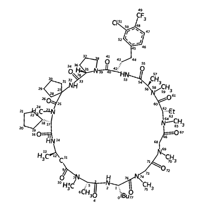 CCC(C)[C@@H]1NC(=O)[C@H](C)N(C)C(=O)C[C@@H](C)NC(=O)[C@H](C2CCCC2)N(C)C(=O)C2(CCCC2)NC(=O)[C@@H]2CCCN2C(=O)[C@H](CCc2ccc(C(F)(F)F)c(Cl)c2)NC(=O)[C@@H](C)N(C)C(=O)[C@H](CC)N(C)C(=O)CN(C)C(=O)CN(C)C1=O